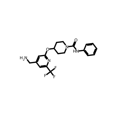 NCc1cc(OC2CCN(C(=O)Nc3ccccc3)CC2)nc(C(F)(F)F)c1